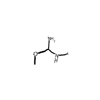 COC(N)NI